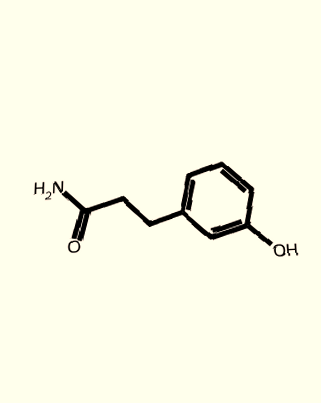 NC(=O)CCc1cccc(O)c1